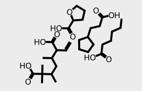 C=CC(C(=O)O)C(C)CC(C)C(C)(C)C(=O)O.CCCCCC(=O)O.O=C(O)C1CCCO1.O=C(O)CCC1CCCC1